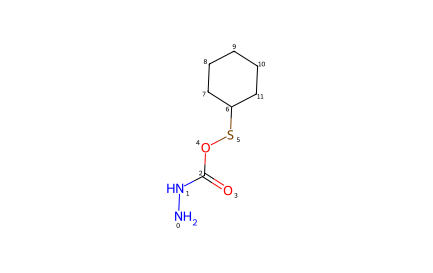 NNC(=O)OSC1CCCCC1